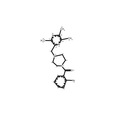 CC(=O)c1ccccc1C(=O)N1CCN(Cc2nc(C)c(C)nc2C)CC1